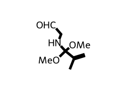 C=C(C)C(NCC=O)(OC)OC